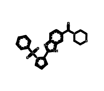 O=C(c1ccc2nc(-c3cccn3S(=O)(=O)c3ccccc3)[nH]c2c1)N1CCOCC1